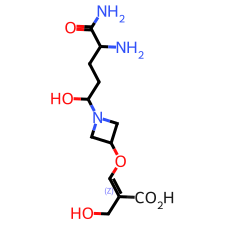 NC(=O)C(N)CCC(O)N1CC(O/C=C(/CO)C(=O)O)C1